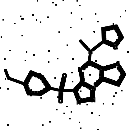 CCc1ccc(S(=O)(=O)c2nnn3c2nc(N(C)c2ccco2)c2sccc23)cc1